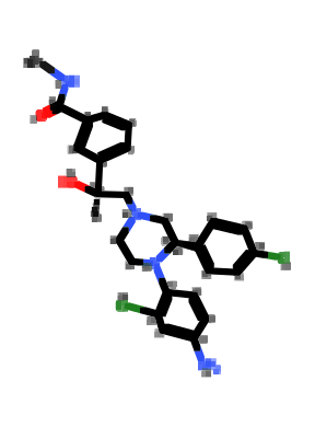 CCCNC(=O)c1cccc([C@](C)(O)CN2CCN(c3ccc(N)cc3Cl)[C@H](c3ccc(Cl)cc3)C2)c1